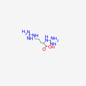 N=C(N)NCCCC(NC(=N)N)C(=O)O